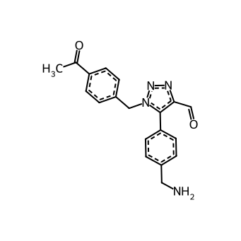 CC(=O)c1ccc(Cn2nnc(C=O)c2-c2ccc(CN)cc2)cc1